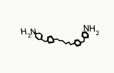 Nc1ccc(Cc2ccc(CCCCCCc3ccc(CC4=CCC(N)C=C4)cc3)cc2)cc1